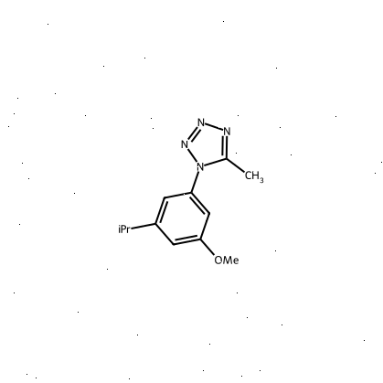 COc1cc(C(C)C)cc(-n2nnnc2C)c1